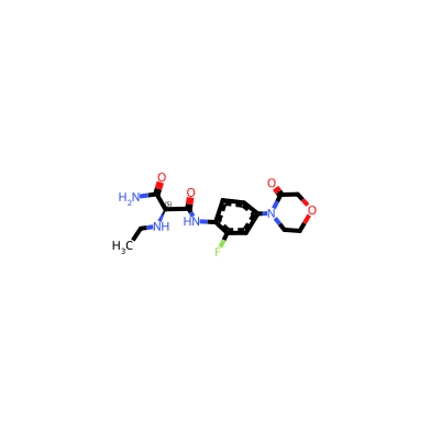 CCN[C@@H](C(N)=O)C(=O)Nc1ccc(N2CCOCC2=O)cc1F